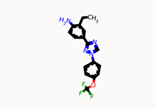 CCc1cc(-c2ncn(-c3ccc(OC(F)(F)F)cc3)n2)ccc1N